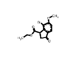 CCOC(=O)C1CC(=O)c2ccc(OC)c(Br)c21